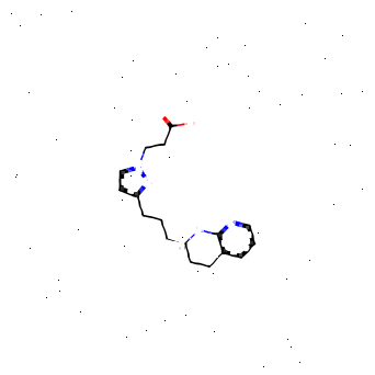 O=C(O)CCn1ccc(CCC[C@@H]2CCc3cccnc3N2)n1